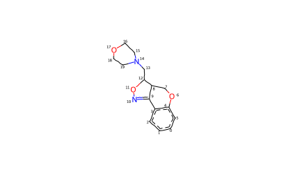 c1ccc2c(c1)OCC1C2=NOC1CN1CCOCC1